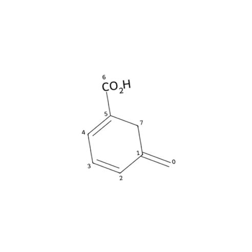 C=C1C=CC=C(C(=O)O)C1